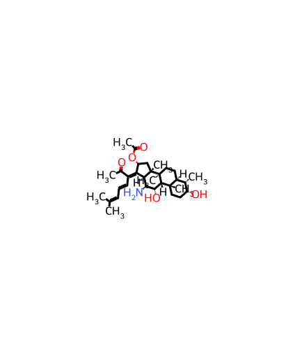 CC(=O)O[C@H]1C[C@@]2(C)[C@H](/C1=C(\C=C\C=C(C)C)C(C)=O)[C@H](N)[C@@H](O)[C@H]1[C@@]3(C)CC[C@@H](O)[C@@H](C)[C@@H]3CC[C@@]12C